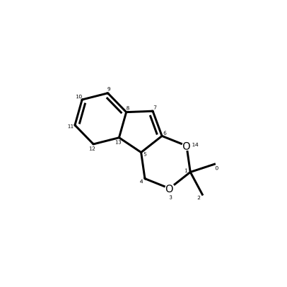 CC1(C)OCC2C(=CC3=CC=CCC32)O1